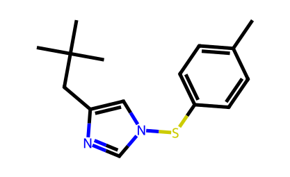 Cc1ccc(Sn2cnc(CC(C)(C)C)c2)cc1